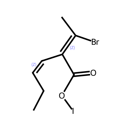 CC/C=C\C(C(=O)OI)=C(/C)Br